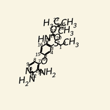 CCSc1cc(Oc2ccnc(N)c2N)ccc1NC(=O)OC(C)(C)C